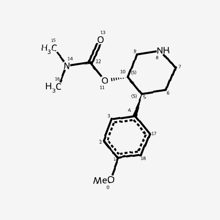 COc1ccc([C@@H]2CCNC[C@H]2OC(=O)N(C)C)cc1